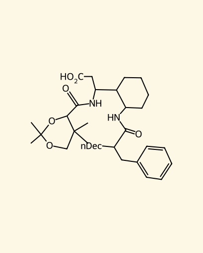 CCCCCCCCCCC(Cc1ccccc1)C(=O)NC1CCCCC1C(CC(=O)O)NC(=O)C1OC(C)(C)OCC1(C)C